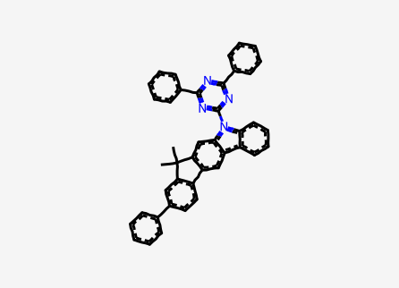 CC1(C)c2cc(-c3ccccc3)ccc2-c2cc3c4ccccc4n(-c4nc(-c5ccccc5)nc(-c5ccccc5)n4)c3cc21